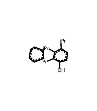 CC(C)c1ccc(O)c(C(C)C)c1C(C)C.c1ccccc1